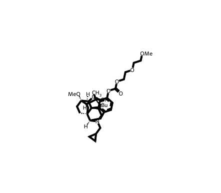 COCCOCCOC(=O)Oc1ccc2c3c1O[C@H]1[C@]4(OC)CC[C@@]5(C[C@@H]4[C@](C)(O)C(C)(C)C)[C@@H](C2)N(CC2CC2)CC[C@]315